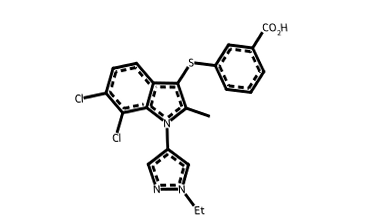 CCn1cc(-n2c(C)c(Sc3cccc(C(=O)O)c3)c3ccc(Cl)c(Cl)c32)cn1